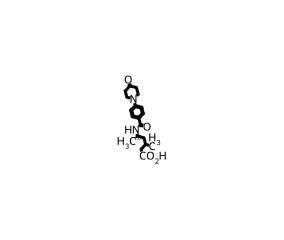 CC(CC(=O)O)C[C@H](C)NC(=O)c1ccc(N2CCC(=O)CC2)cc1